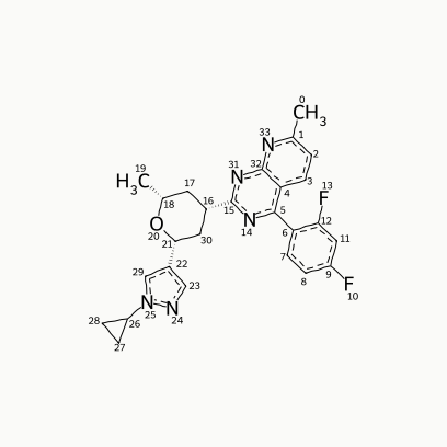 Cc1ccc2c(-c3ccc(F)cc3F)nc([C@H]3C[C@@H](C)O[C@@H](c4cnn(C5CC5)c4)C3)nc2n1